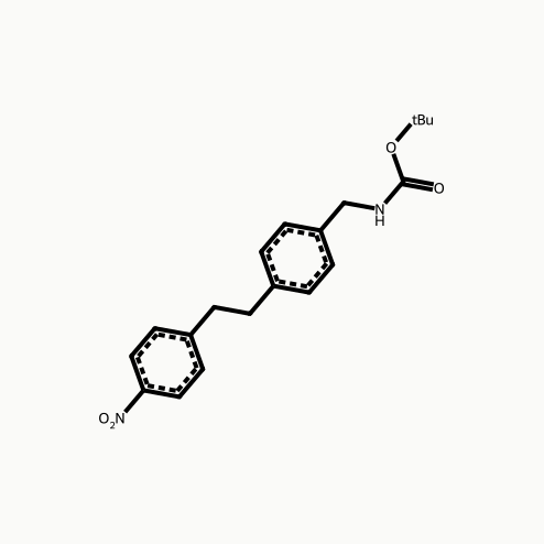 CC(C)(C)OC(=O)NCc1ccc(CCc2ccc([N+](=O)[O-])cc2)cc1